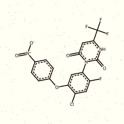 O=c1cc(C(F)(F)F)[nH]c(=O)n1-c1cc(Oc2ccc([N+](=O)[O-])cc2)c(Cl)cc1F